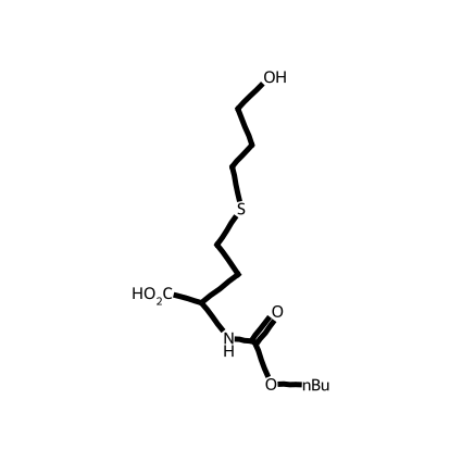 CCCCOC(=O)NC(CCSCCCO)C(=O)O